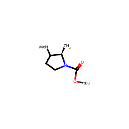 CNC1CCN(C(=O)OC(C)(C)C)[C@@H]1C